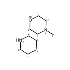 C1CCNCC1.CN1CCOCC1